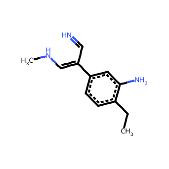 CCc1ccc(/C(C=N)=C/NC)cc1N